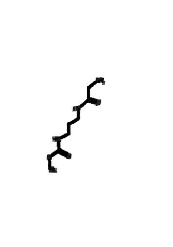 CC(C)(C)OC(=O)NCCCNC(=O)CN